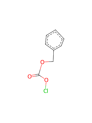 O=C(OCl)OCc1ccccc1